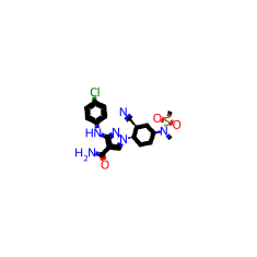 CN([C@H]1CC[C@H](n2cc(C(N)=O)c(Nc3ccc(Cl)cc3)n2)[C@@H](C#N)C1)S(C)(=O)=O